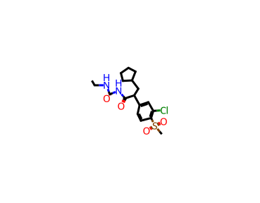 CCNC(=O)NC(=O)C(CC1CCCC1)c1ccc(S(C)(=O)=O)c(Cl)c1